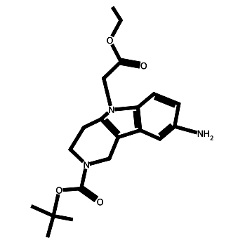 CCOC(=O)Cn1c2c(c3cc(N)ccc31)CN(C(=O)OC(C)(C)C)CC2